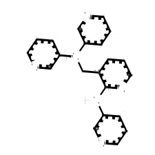 c1cncc(Nc2ncccc2CN(c2cccnc2)c2cccnc2)c1